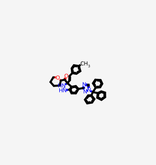 Cc1ccc(C=CC2(C(=O)C3CCCCO3)NNc3ccc(-c4ncn(C(c5ccccc5)(c5ccccc5)c5ccccc5)n4)cc32)cc1